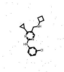 Clc1cccc(Nc2ncc(CNC3CCC3)c(C3CC3)n2)c1